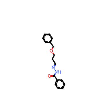 O=C(NN=CCCOCc1ccccc1)c1ccccc1